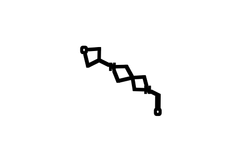 O=CN1CC2(C1)CN(C1COC1)C2